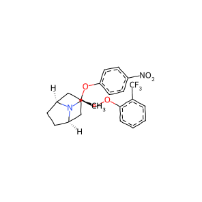 C[C@@]1(Oc2ccc([N+](=O)[O-])cc2)C[C@H]2CC[C@@H](C1)N2CCOc1ccccc1C(F)(F)F